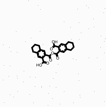 O=C(O)c1cc2c(cc1C(=O)OC(=O)c1cc3c(cc1C(=O)O)CCCC3)CCCC2